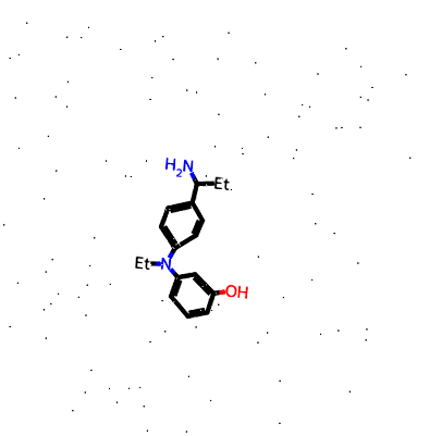 CCC(N)c1ccc(N(CC)c2cccc(O)c2)cc1